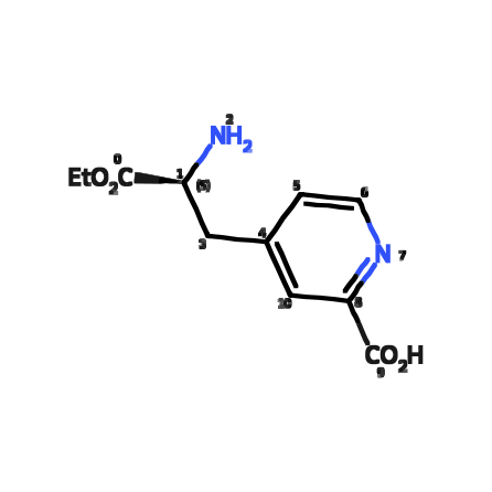 CCOC(=O)[C@@H](N)Cc1ccnc(C(=O)O)c1